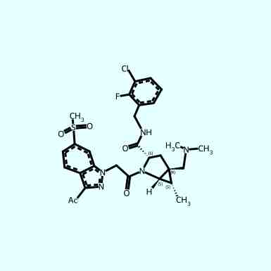 CC(=O)c1nn(CC(=O)N2[C@H]3[C@@H](C)[C@@]3(CN(C)C)C[C@H]2C(=O)NCc2cccc(Cl)c2F)c2cc(S(C)(=O)=O)ccc12